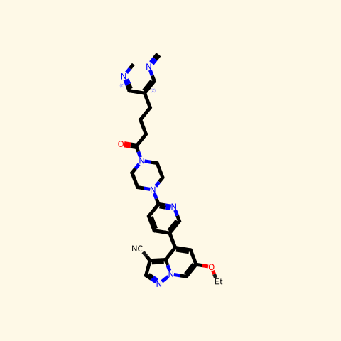 C=N/C=C(\C=N/C)CCCC(=O)N1CCN(c2ccc(-c3cc(OCC)cn4ncc(C#N)c34)cn2)CC1